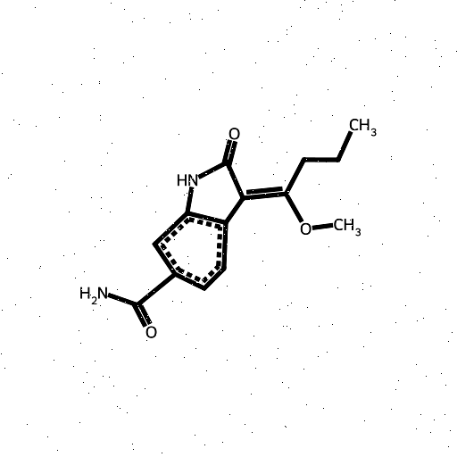 CCCC(OC)=C1C(=O)Nc2cc(C(N)=O)ccc21